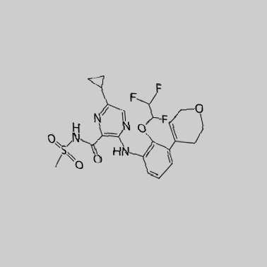 CS(=O)(=O)NC(=O)c1nc(C2CC2)cnc1Nc1cccc(C2=CCOCC2)c1OC(F)C(F)F